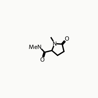 CNC(=O)C1CCC(=O)N1C